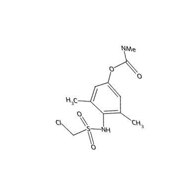 CNC(=O)Oc1cc(C)c(NS(=O)(=O)CCl)c(C)c1